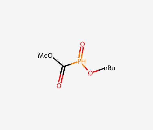 CCCCO[PH](=O)C(=O)OC